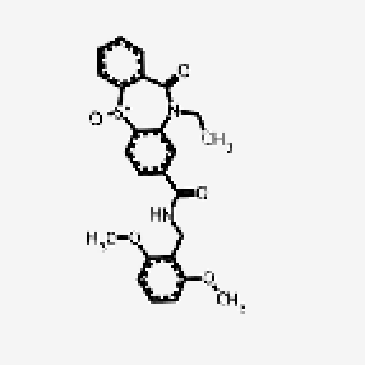 CCN1C(=O)c2ccccc2[S+]([O-])c2ccc(C(=O)NCc3c(OC)cccc3OC)cc21